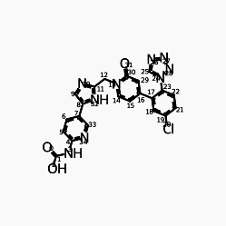 O=C(O)Nc1ccc(-c2cnc(Cn3ccc(-c4cc(Cl)ccc4-n4cnnn4)cc3=O)[nH]2)cn1